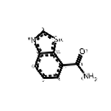 NC(=O)c1cccc2ncsc12